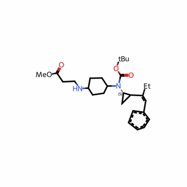 CCC(=Cc1ccccc1)C1C[C@@H]1N(C(=O)OC(C)(C)C)C1CCC(NCCC(=O)OC)CC1